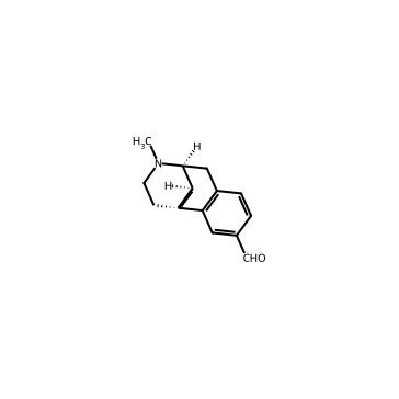 CN1CC[C@@]23CCCC[C@@H]2[C@@H]1Cc1ccc(C=O)cc13